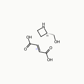 O=C(O)/C=C/C(=O)O.OC[C@@H]1CCN1